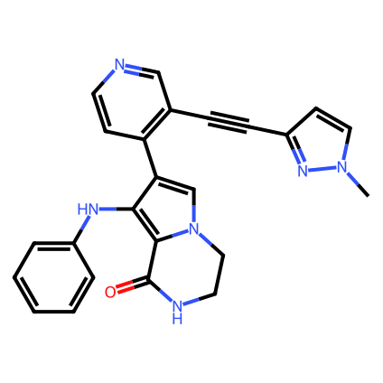 Cn1ccc(C#Cc2cnccc2-c2cn3c(c2Nc2ccccc2)C(=O)NCC3)n1